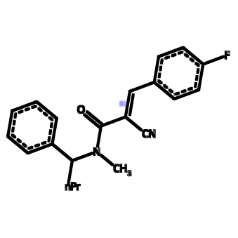 CCCC(c1ccccc1)N(C)C(=O)/C(C#N)=C/c1ccc(F)cc1